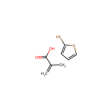 C=C(C)C(=O)O.Sc1cccs1